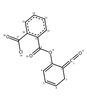 O=C=C1CC=CC=C1OC(=O)c1ccccc1C(=O)Cl